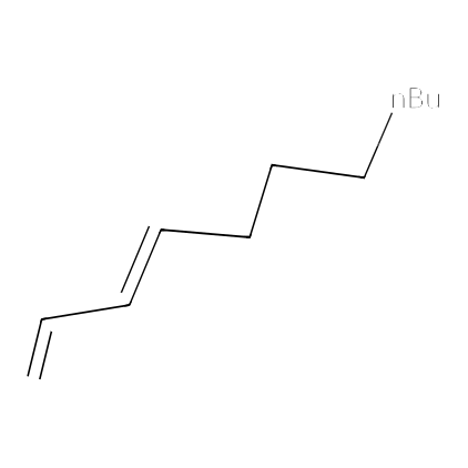 C=CC=CCCCCCCC